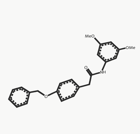 COc1cc(NC(=O)Cc2ccc(OCc3ccccc3)cc2)cc(OC)c1